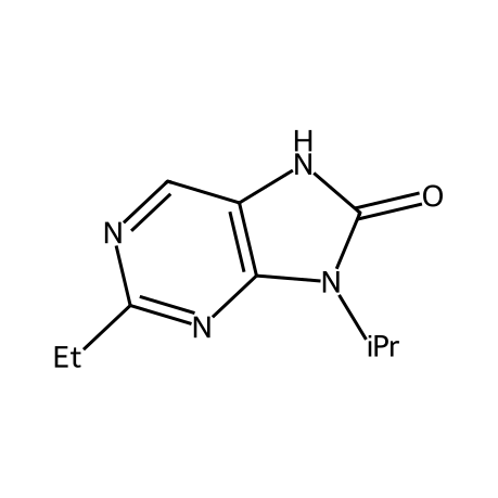 CCc1ncc2[nH]c(=O)n(C(C)C)c2n1